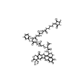 CC[C@@]1(O)C(=O)OCc2c1cc1n(c2=O)Cc2c-1nc1cc(F)c(C)c3c1c2[C@@H](NC(=O)[C@@H](OCNC(=O)CNC(=O)[C@H](Cc1ccccc1)NC(=O)CNC(=O)CNC(=O)CCCCCN1C(=O)CC(C)C1=O)C1CC1)CC3